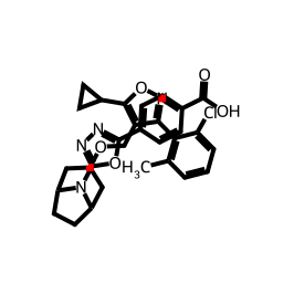 Cc1cccc(Cl)c1-c1noc(C2CC2)c1COC1CC2CCC(C1)N2c1nnc(-c2ccc(C(=O)O)cc2)o1